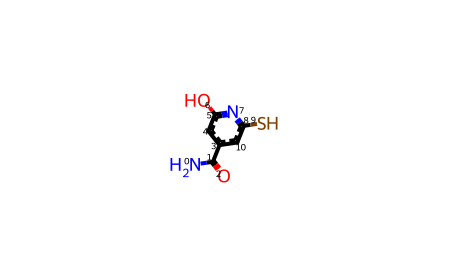 NC(=O)c1cc(O)nc(S)c1